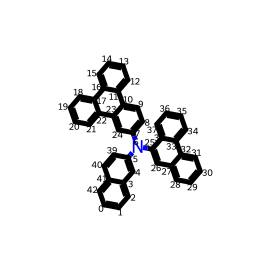 c1ccc2cc(N(c3ccc4c5ccccc5c5ccccc5c4c3)c3cc4ccccc4c4ccccc34)ccc2c1